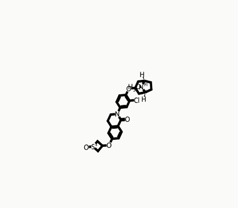 CN1[C@@H]2CC[C@H]1CC(Oc1ccc(N3CCc4cc(OC5C[S+]([O-])C5)ccc4C3=O)cc1Cl)C2